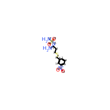 N/C(CCSCc1cccc([N+](=O)[O-])c1)=N\S(N)(=O)=O